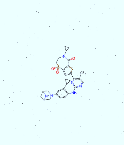 CN1C2CC1CN(c1ccc(Nc3ncc(C(F)(F)F)c(-c4cc5c(s4)C(=O)N(C4CC4)CCS5(=O)=O)n3)c(C3CC3)c1)C2